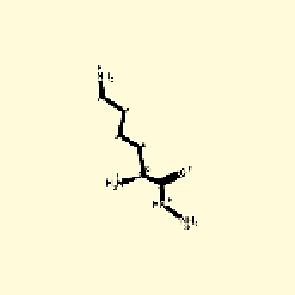 NCCCC[C@H](N)C(=O)NN